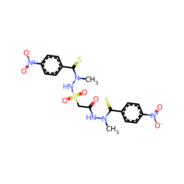 CN(NC(=O)CS(=O)(=O)NN(C)C(=S)c1ccc([N+](=O)[O-])cc1)C(=S)c1ccc([N+](=O)[O-])cc1